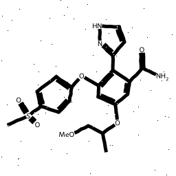 COCC(C)Oc1cc(Oc2ccc(S(C)(=O)=O)cc2)c(-c2cc[nH]n2)c(C(N)=O)c1